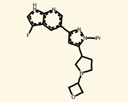 CC(C)n1nc(-c2cnc3[nH]cc(F)c3c2)cc1C1CCN(C2COC2)C1